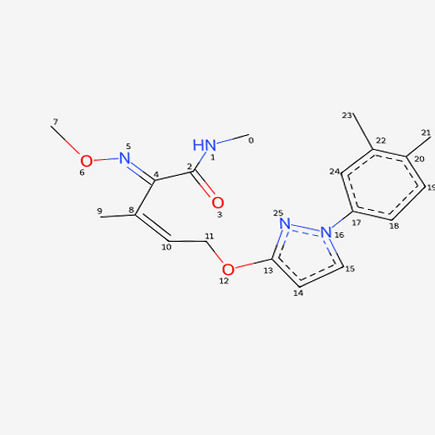 CNC(=O)C(=N/OC)/C(C)=C\COc1ccn(-c2ccc(C)c(C)c2)n1